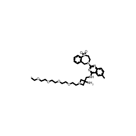 Cc1ccc2nc(N3CCS(=O)(=O)c4ccccc4C3)nc(NCC3(N)CN(CCOCCOCCOCCOCI)C3)c2c1